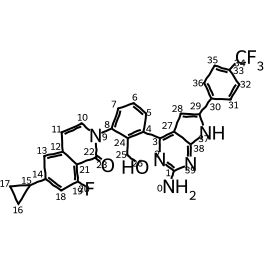 Nc1nc(-c2cccc(-n3ccc4cc(C5CC5)cc(F)c4c3=O)c2CO)c2cc(-c3ccc(C(F)(F)F)cc3)[nH]c2n1